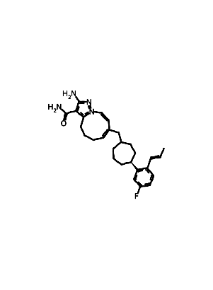 C/C=C/c1ccc(F)cc1[C@H]1CCCC(CC2=C/CCCc3c(C(N)=O)c(N)nn3/C=C\2)CC1